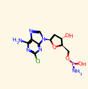 Nc1nc(Cl)nc2c1ncn2[C@H]1C[C@H](O)[C@@H](COP(N)O)O1